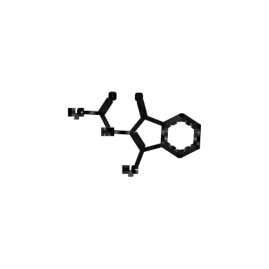 CC(=O)NC1=C(C)c2ccccc2C1=O